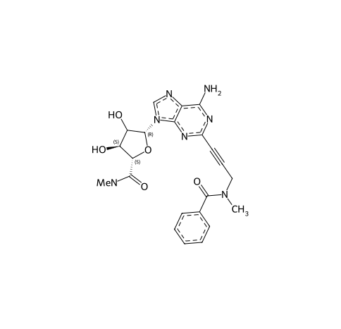 CNC(=O)[C@H]1O[C@@H](n2cnc3c(N)nc(C#CCN(C)C(=O)c4ccccc4)nc32)C(O)[C@@H]1O